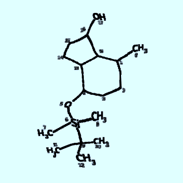 CC1CCC(O[Si](C)(C)C(C)(C)C)C2CCC(O)C12